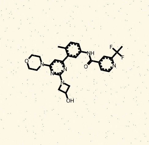 Cc1ccc(NC(=O)c2ccnc(C(C)(F)F)c2)cc1-c1cc(N2CCOCC2)nc(N2CC(O)C2)n1